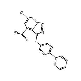 O=C(O)c1cc(Cl)cc2cnn(Cc3ccc(-c4ccccc4)cc3)c12